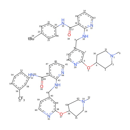 CN1CCC(Oc2cc(CNc3ncccc3C(=O)Nc3ccc(C(C)(C)C)cc3)ccn2)CC1.CN1CCC(Oc2cc(CNc3ncccc3C(=O)Nc3cccc(C(F)(F)F)c3)ccn2)CC1